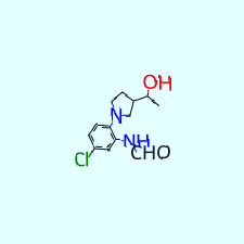 CC(O)C1CCN(c2ccc(Cl)cc2NC=O)C1